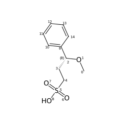 CO[C@H](CCS(=O)(=O)O)c1ccccc1